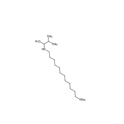 CCCCCCCCCCCCCCCCCCCCCCPC(OC(C)=O)C(OC(C)=O)OC(C)=O